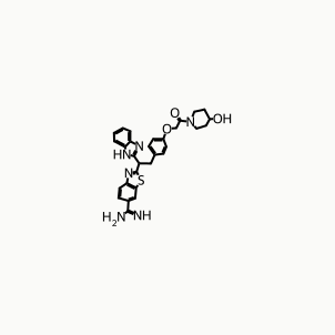 N=C(N)c1ccc2nc(C(Cc3ccc(OCC(=O)N4CCC(O)CC4)cc3)c3nc4ccccc4[nH]3)sc2c1